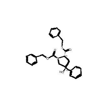 O=C(OCc1ccccc1)[C@@H]1C[C@](O)(c2ccccc2)CN1C(=O)OCc1ccccc1